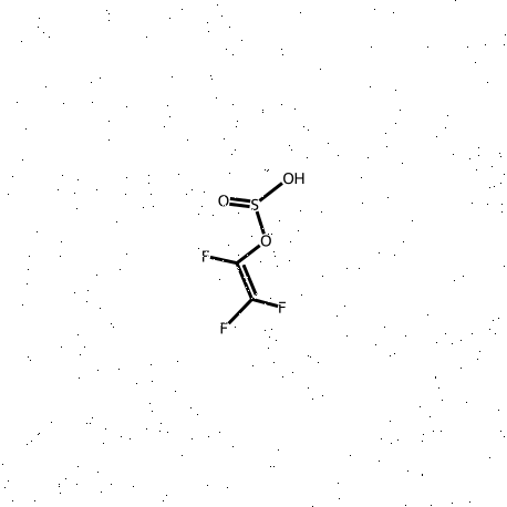 O=S(O)OC(F)=C(F)F